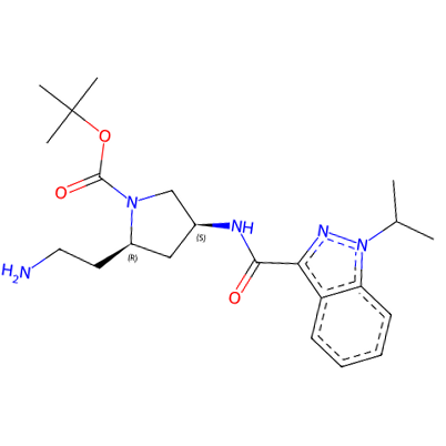 CC(C)n1nc(C(=O)N[C@H]2C[C@@H](CCN)N(C(=O)OC(C)(C)C)C2)c2ccccc21